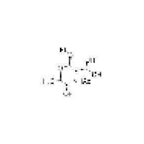 CCO[C@H](OC(C)CO)[C@@H](NC(C)=O)C(O)O